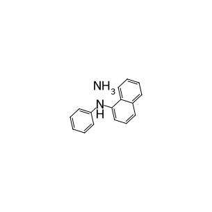 N.c1ccc(Nc2cccc3ccccc23)cc1